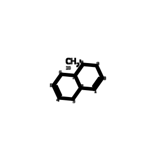 C1=CC2CC=CCC2CC1.[CH2]